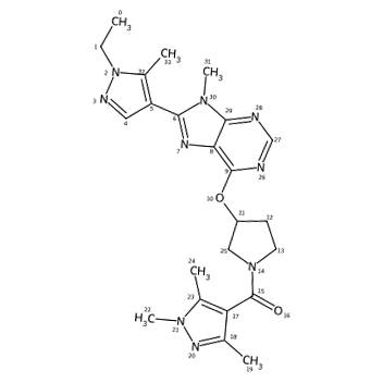 CCn1ncc(-c2nc3c(OC4CCN(C(=O)c5c(C)nn(C)c5C)C4)ncnc3n2C)c1C